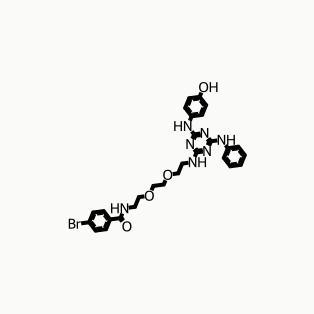 O=C(NCCOCCOCCNc1nc(Nc2ccccc2)nc(Nc2ccc(O)cc2)n1)c1ccc(Br)cc1